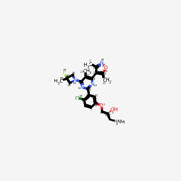 CNC[C@@H](O)COc1ccc(Cl)c(-c2nc(-c3c(C)noc3C)c(C)c(N3CC(C)(F)C3)n2)c1